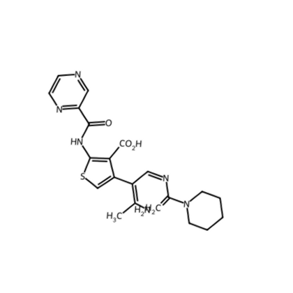 C=C(/N=C\C(=C(\C)N)c1csc(NC(=O)c2cnccn2)c1C(=O)O)N1CCCCC1